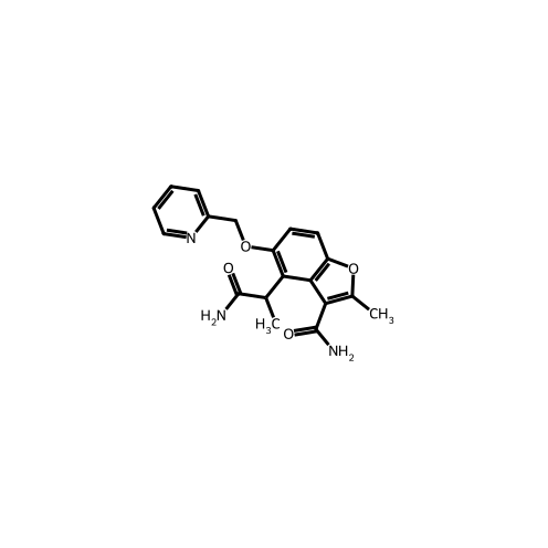 Cc1oc2ccc(OCc3ccccn3)c(C(C)C(N)=O)c2c1C(N)=O